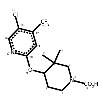 CC1(C)CN(C(=O)O)CCC1Oc1cc(C(F)(F)F)c(Cl)cn1